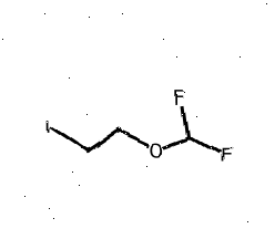 FC(F)OCCI